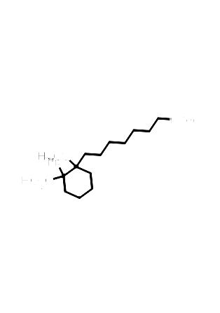 CCCCCCCCCCCCCCCCCC1(C(=O)O)CCCCC1(C(=O)O)C(C)C